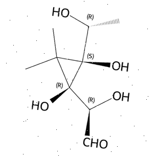 C[C@@H](O)[C@@]1(O)C(C)(C)[C@@]1(O)[C@@H](O)C=O